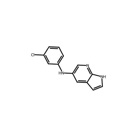 Clc1cccc(Nc2cnc3[nH]ccc3c2)c1